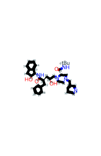 CC(C)(C)NC(=O)[C@@H]1CN(Cc2cccnc2)CCN1C[C@H](O)C[C@@H](Cc1ccccc1)C(=O)N[C@H]1c2ccccc2C[C@H]1O